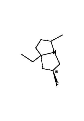 CCC12CCC(C)N1C[C@@H](F)C2